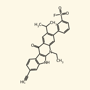 C#Cc1ccc2c(c1)[nH]c1c2c(=O)c2cc(C(C)C)c(-c3cccc(S(=O)(=O)F)c3)cc2n1CC